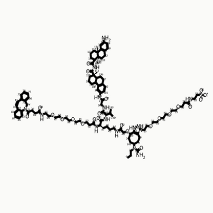 CCCN(C(N)=O)C1CCC2=C(NNN2CCOCCOCCOCCOCCC(=O)NCCS(=O)(=O)O)C(OCC(=O)NCCCC[C@@H](NC(=O)CCOCCOCCOCCOCCNC(=O)CCC(=O)N2Cc3ccccc3C#Cc3ccccc32)C(=O)N[C@H](C(=O)NCC(=O)Nc2ccc3c(c2)[C@@]2(C)CCC[C@](C)(C(=O)NC(=O)[C@@]4(C)CCC[C@]5(C)c6cc(N)ccc6CC[C@@H]45)C2CC3)C(C)C)CC1